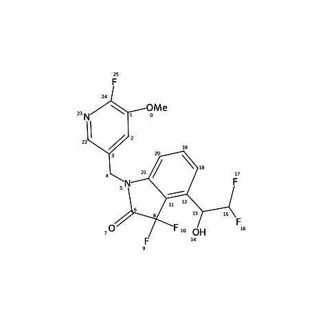 COc1cc(CN2C(=O)C(F)(F)c3c(C(O)C(F)F)cccc32)cnc1F